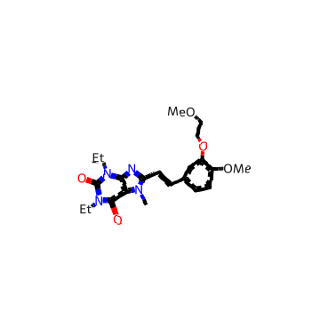 CCn1c(=O)c2c(nc(/C=C/c3ccc(OC)c(OCCOC)c3)n2C)n(CC)c1=O